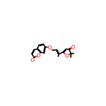 C/C(=C\COc1ccc2ccc(=O)oc2c1)C1=CC(=O)C(C)(C)O1